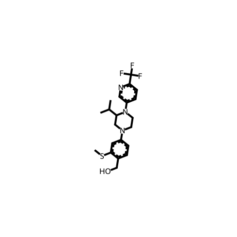 CSc1cc(N2CCN(c3ccc(C(F)(F)F)nc3)C(C(C)C)C2)ccc1CO